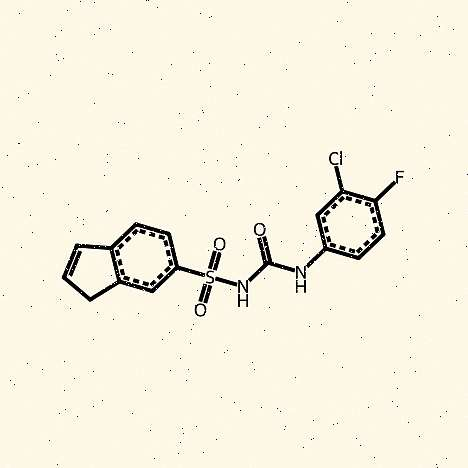 O=C(Nc1ccc(F)c(Cl)c1)NS(=O)(=O)c1ccc2c(c1)CC=C2